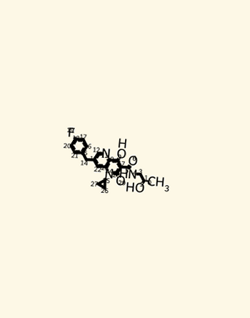 C[C@@H](O)CNC(=O)c1c(O)c2ncc(Cc3ccc(F)cc3)cc2n(C2CC2)c1=O